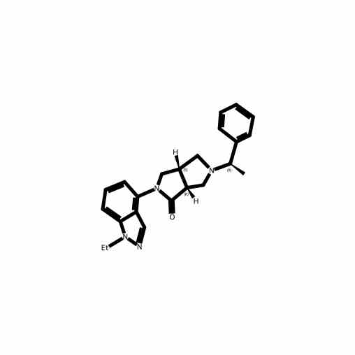 CCn1ncc2c(N3C[C@@H]4CN([C@H](C)c5ccccc5)C[C@@H]4C3=O)cccc21